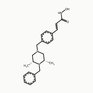 C[C@@H]1CN(Cc2ccc(/C=C/C(=O)NO)cc2)C[C@H](C)N1Cc1ccccc1